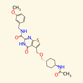 COc1cccc(CNC(=O)c2nc3scc(COC[C@H]4CC[C@H](NC(C)=O)CC4)c3c(=O)[nH]2)c1